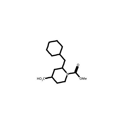 COC(=O)N1CCC(C(=O)O)CC1CC1CCCCC1